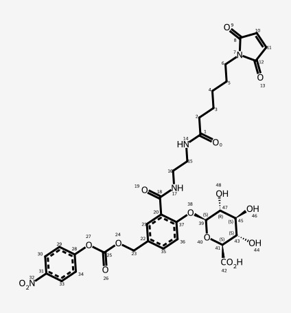 O=C(CCCCCN1C(=O)C=CC1=O)NCCNC(=O)c1cc(COC(=O)Oc2ccc([N+](=O)[O-])cc2)ccc1O[C@@H]1O[C@H](C(=O)O)[C@@H](O)[C@H](O)[C@H]1O